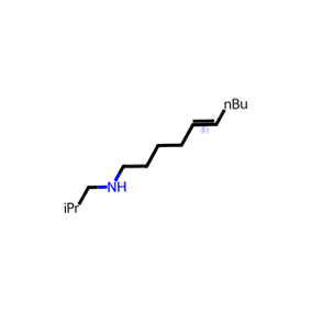 CCCC/C=C/CCCCNCC(C)C